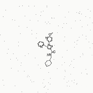 COc1ccc(-n2nc(C(=O)NCC3CCCCC3)cc2-c2ccccn2)cn1